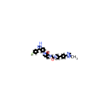 Cn1cnc(-c2ccc(C3=CCN(C(=O)CN4CCC5(CCN(c6ccc7[nH]nc(-c8ccc(F)cc8)c7c6)C5=O)C4)CC3)cc2)n1